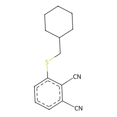 N#Cc1cccc(SCC2CCCCC2)c1C#N